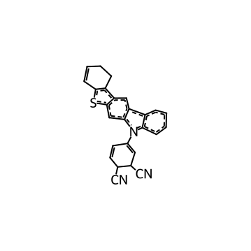 N#CC1C=CC(n2c3ccccc3c3cc4c5c(sc4cc32)C=CCC5)=CC1C#N